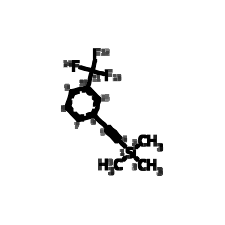 C[Si](C)(C)C#Cc1[c]ccc(C(F)(F)F)c1